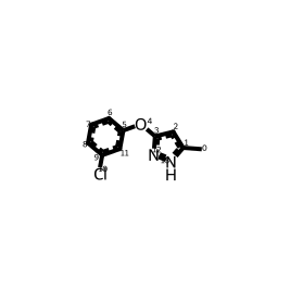 Cc1cc(Oc2cccc(Cl)c2)n[nH]1